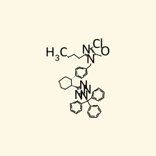 CCCCc1nc(Cl)c(C=O)n1Cc1ccc([C@H]2CCCC[C@@H]2c2nnn(C(c3ccccc3)(c3ccccc3)c3ccccc3)n2)cc1